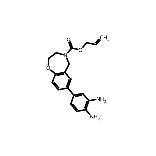 C=CCOC(=O)N1CCOc2ccc(-c3ccc(N)c(N)c3)cc2C1